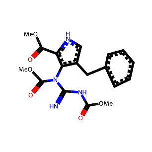 COC(=O)NC(=N)N(C(=O)OC)c1c(Cc2ccccc2)c[nH]c1C(=O)OC